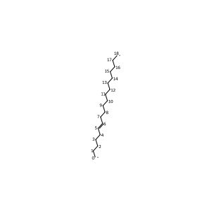 [CH2]CCCC/C=C/CCCCCCCCCCC[CH2]